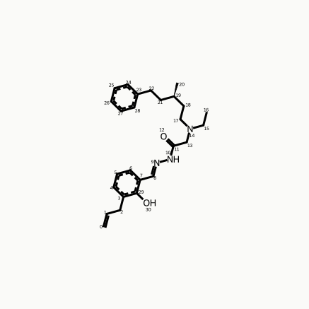 C=CCc1cccc(/C=N/NC(=O)CN(CC)CC[C@H](C)CCc2ccccc2)c1O